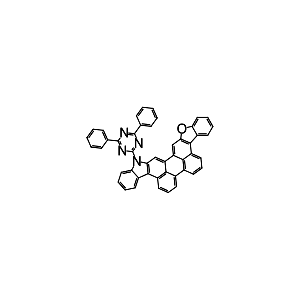 c1ccc(-c2nc(-c3ccccc3)nc(-n3c4ccccc4c4c5cccc6c7cccc8c9c(cc(c(cc43)c65)c78)oc3ccccc39)n2)cc1